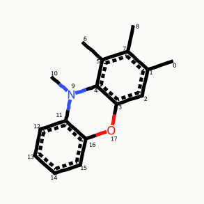 Cc1cc2c(c(C)c1C)N(C)c1ccccc1O2